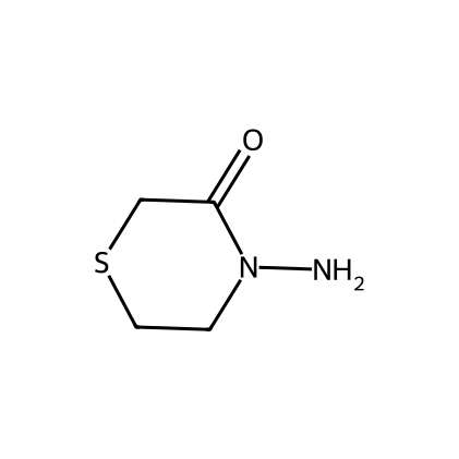 NN1CCSCC1=O